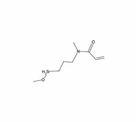 C=CC(=O)N(C)CCC[SiH2]OC